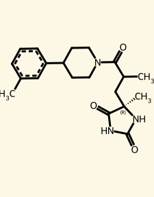 Cc1cccc(C2CCN(C(=O)C(C)C[C@@]3(C)NC(=O)NC3=O)CC2)c1